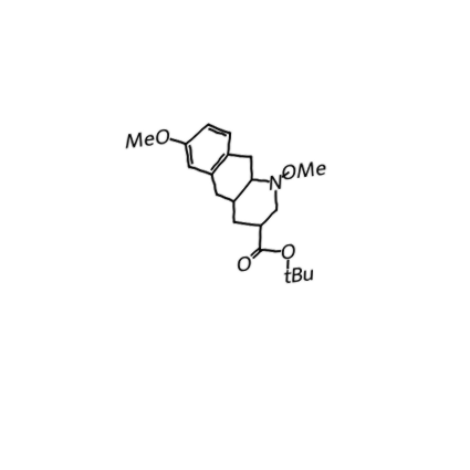 COc1ccc2c(c1)CC1CC(C(=O)OC(C)(C)C)CN(OC)C1C2